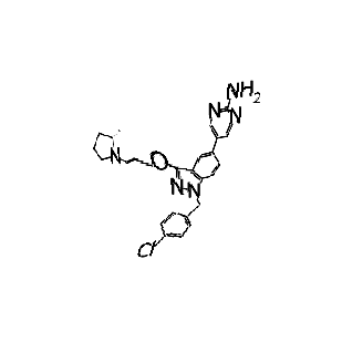 C[C@H]1CCCN1CCCOc1nn(Cc2ccc(Cl)cc2)c2ccc(-c3cnc(N)nc3)cc12